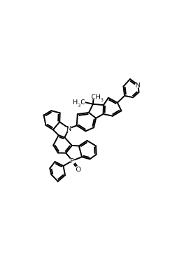 CC1(C)c2cc(-c3ccncc3)ccc2-c2ccc(-n3c4ccccc4c4ccc5c(c43)-c3ccccc3P5(=O)c3ccccc3)cc21